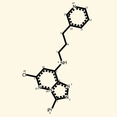 CC(C)c1nnc2c(NCCCc3cccnc3)cc(Cl)nn12